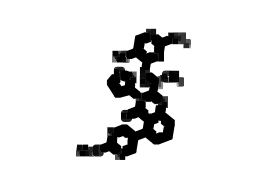 COc1ncc(-c2cccc3nc([C@@H](C)Nc4nc(N)ncc4C#N)n(-c4ccon4)c(=O)c23)cn1